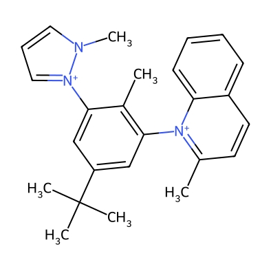 Cc1c(-[n+]2c(C)ccc3ccccc32)cc(C(C)(C)C)cc1-[n+]1cccn1C